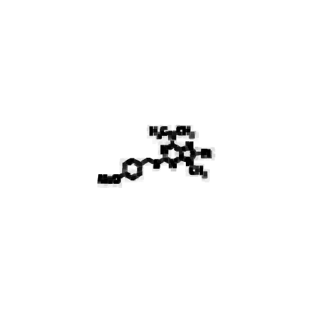 CCc1nc2c(N(C)C)nc(SCc3ccc(OC)cc3)nc2n1C